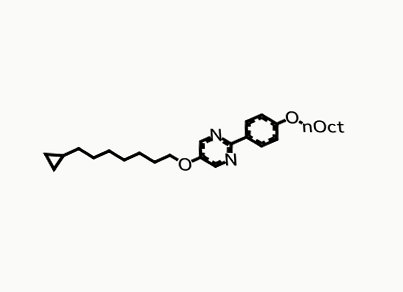 CCCCCCCCOc1ccc(-c2ncc(OCCCCCCCC3CC3)cn2)cc1